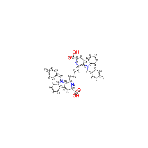 Cc1ccc(Cn2c3ccccc3c3cc(C(=O)O)nc(CCCCc4nc(C(=O)O)cc5c6ccccc6n(Cc6ccc(C)cc6)c45)c32)cc1